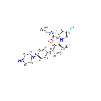 N#CCNC(=O)[C@@H]1C[C@H](F)CN1c1cc(-c2ccc(N3CCNCC3)cc2)ccc1Cl